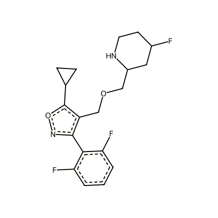 Fc1cccc(F)c1-c1noc(C2CC2)c1COCC1CC(F)CCN1